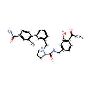 COC(=O)c1ccc(CNC(=O)[C@H]2CCCN2Cc2cccc(-c3ccc(C(N)=O)cc3C)c2)cc1O